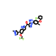 Cc1cc(-n2ncc(C(=O)c3cc4cc(OCC(F)F)c(-c5cnn(C)c5)cc4[nH]3)c2N)ccc1Oc1ccccc1F